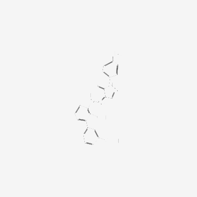 CC1=NN(c2ccc(C(C)(C)C)cc2)C(=O)/C1=N\Nc1cccc(-c2cccc(C(=O)O)c2)c1O